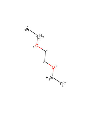 CCC[SiH2]OCCO[SiH2]CCC